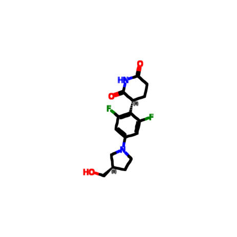 O=C1CC[C@H](c2c(F)cc(N3CC[C@@H](CO)C3)cc2F)C(=O)N1